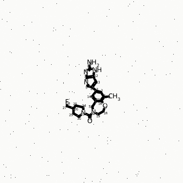 Cc1cc(-c2cnc3nc(N)[nH]c3c2)cc2c1OCCN(C(=O)N1CCC(CF)CC1)C2